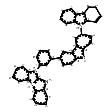 C1=Cc2c(c3ccccc3n2-c2ccc3oc4ccc(-c5cccc(-n6c7ccccc7n7c8ccccc8nc67)c5)cc4c3c2)CC1